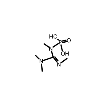 CN=C(N(C)C)N(C)P(=O)(O)O